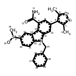 Cc1noc(C)c1-c1cc(C(N)=O)c2c3cc([S+](C)[O-])ccc3n(Cc3ccccc3)c2c1